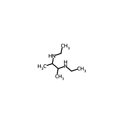 CCNC(C)C(C)NCC